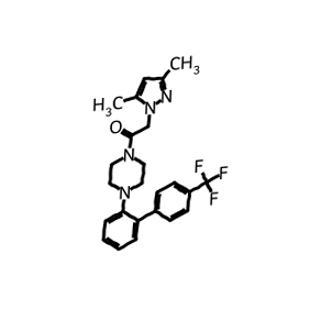 Cc1cc(C)n(CC(=O)N2CCN(c3ccccc3-c3ccc(C(F)(F)F)cc3)CC2)n1